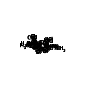 CC1=C2[C@@H](OC(=O)OCC(Cl)(Cl)Cl)C(=O)[C@@]3(C)C([C@@H]4CO[C@@H]4C[C@@H]3OC(=O)CCCN3CCN(C)CC3)[C@H](OC(=O)c3ccccc3)[C@](O)(C[C@@H]1OC(=O)[C@H](OC(=O)OCC(Cl)(Cl)Cl)[C@@H](NC(=O)OC(C)(C)C)c1ccccc1)C2(C)C